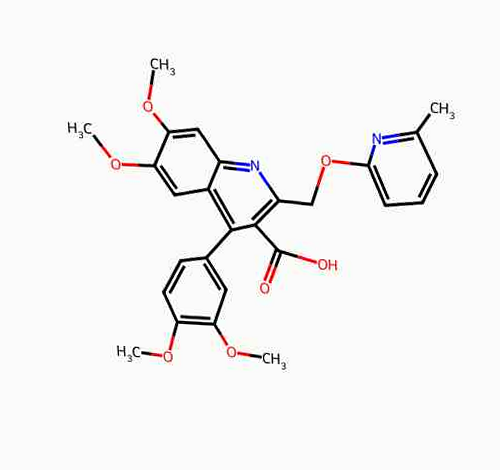 COc1ccc(-c2c(C(=O)O)c(COc3cccc(C)n3)nc3cc(OC)c(OC)cc23)cc1OC